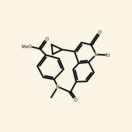 CCn1c(=O)cc(C2CC2)c2cc(C(=O)N(C)c3ccc(C(=O)OC)cc3)ccc21